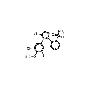 COc1c(Cl)cc(-c2c(Cl)cnn2-c2ccccc2S(N)(=O)=O)cc1Cl